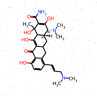 CN(C)C/C=C/c1ccc(O)c2c1CC1C[C@@H]3C(C(O)=C1C2=O)C(C)(O)C(C(N)=O)=C(O)[C@@H]3N(C)C